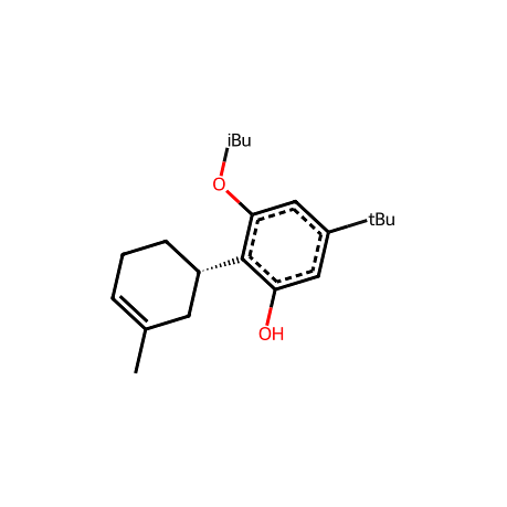 CCC(C)Oc1cc(C(C)(C)C)cc(O)c1[C@H]1CCC=C(C)C1